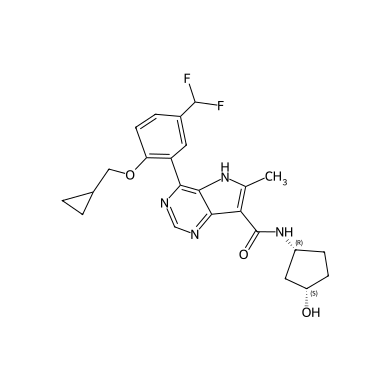 Cc1[nH]c2c(-c3cc(C(F)F)ccc3OCC3CC3)ncnc2c1C(=O)N[C@@H]1CC[C@H](O)C1